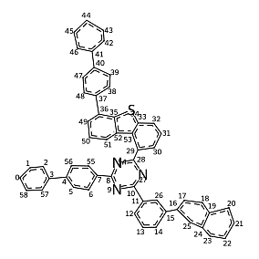 c1ccc(-c2ccc(-c3nc(-c4cccc(-c5ccc6ccccc6c5)c4)nc(-c4cccc5sc6c(-c7ccc(-c8ccccc8)cc7)cccc6c45)n3)cc2)cc1